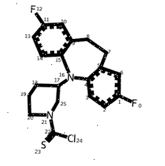 Fc1ccc2c(c1)CCc1cc(F)ccc1N2C1CCCN(C(=S)Cl)C1